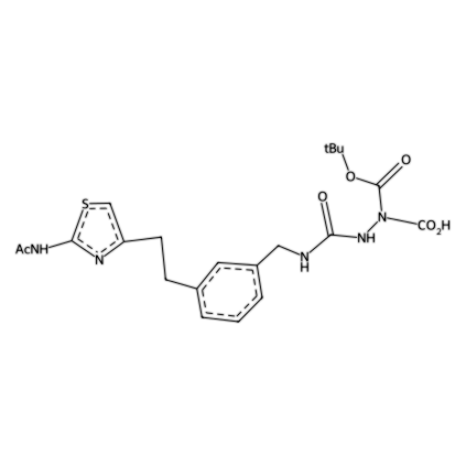 CC(=O)Nc1nc(CCc2cccc(CNC(=O)NN(C(=O)O)C(=O)OC(C)(C)C)c2)cs1